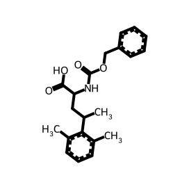 Cc1cccc(C)c1C(C)CC(NC(=O)OCc1ccccc1)C(=O)O